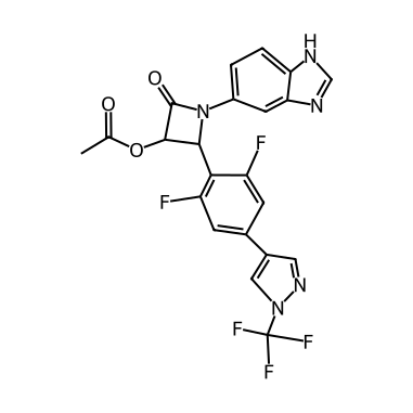 CC(=O)OC1C(=O)N(c2ccc3[nH]cnc3c2)C1c1c(F)cc(-c2cnn(C(F)(F)F)c2)cc1F